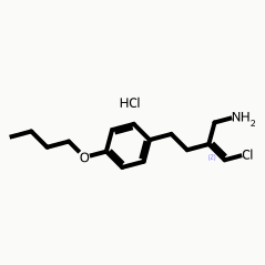 CCCCOc1ccc(CC/C(=C/Cl)CN)cc1.Cl